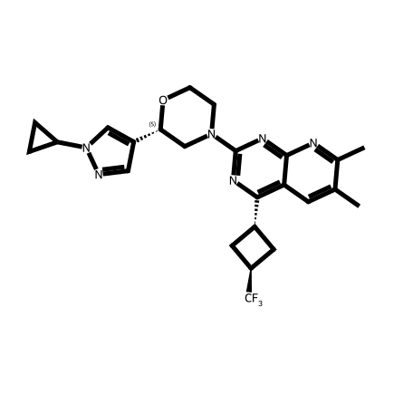 Cc1cc2c(nc(N3CCO[C@@H](c4cnn(C5CC5)c4)C3)nc2[C@H]2C[C@H](C(F)(F)F)C2)nc1C